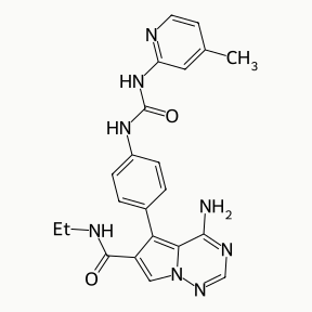 CCNC(=O)c1cn2ncnc(N)c2c1-c1ccc(NC(=O)Nc2cc(C)ccn2)cc1